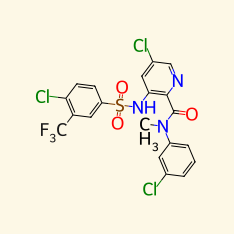 CN(C(=O)c1ncc(Cl)cc1NS(=O)(=O)c1ccc(Cl)c(C(F)(F)F)c1)c1cccc(Cl)c1